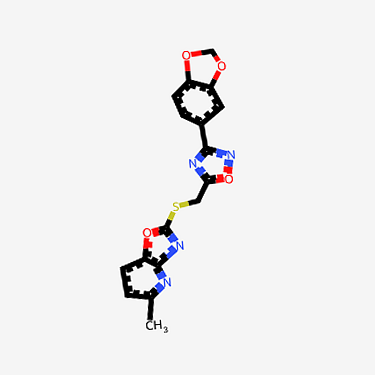 Cc1ccc2oc(SCc3nc(-c4ccc5c(c4)OCO5)no3)nc2n1